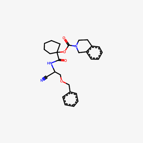 N#CC(COCc1ccccc1)NC(=O)C1(OC(=O)N2CCc3ccccc3C2)CCCCC1